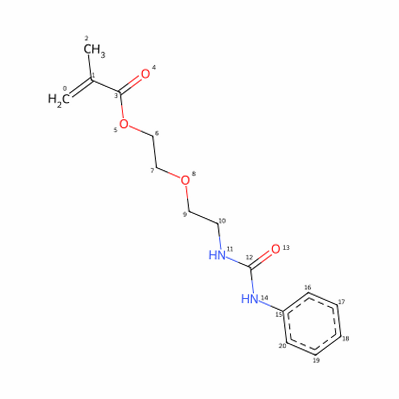 C=C(C)C(=O)OCCOCCNC(=O)Nc1ccccc1